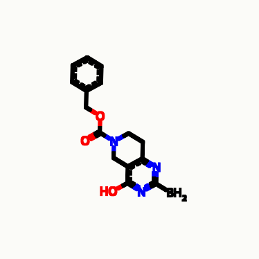 Bc1nc(O)c2c(n1)CCN(C(=O)OCc1ccccc1)C2